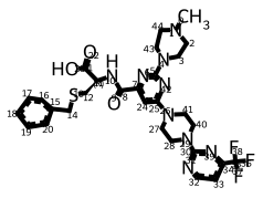 CN1CCN(c2nc(C(=O)N[C@@H](CSCc3ccccc3)C(=O)O)cc(N3CCN(c4nccc(C(F)(F)F)n4)CC3)n2)CC1